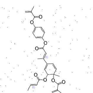 C=C(C)C(=O)Oc1ccc(OC(=O)/C=C(\C)C2=CC(OC(=O)/C=C/C)C(C)(OC(=O)C(=C)C)C=C2)cc1